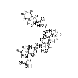 CC[C@H](C)[C@H](NC(=O)CNC(=O)[C@@H](N)Cc1ccccc1)C(=O)N[C@@H](CO)C(=O)NCC(=O)N[C@@H](CC(C)C)C(=O)NCC(=O)O